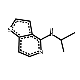 CC(C)Nc1nccc2sccc12